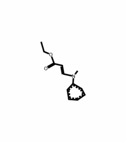 CCOC(=O)C=CN(C)c1ccccc1